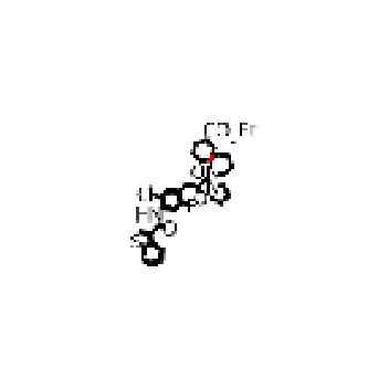 CCOC(=O)C1CCC(OC(C(=O)Cc2cc(Cl)c(NC(=O)c3csc4ccccc34)cc2F)(N2CCCCC2)N2CCCC2)CC1